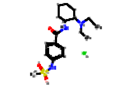 CCN(CC)[C@@H]1CCCC[C@H]1NC(=O)c1ccc(NS(C)(=O)=O)cc1.Cl